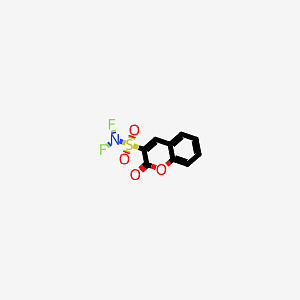 O=c1oc2ccccc2cc1S(=O)(=O)N(F)F